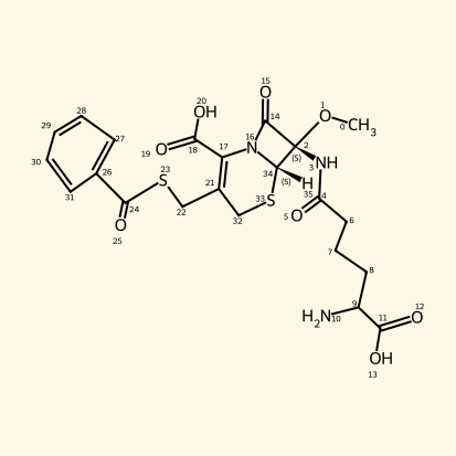 CO[C@@]1(NC(=O)CCCC(N)C(=O)O)C(=O)N2C(C(=O)O)=C(CSC(=O)c3ccccc3)CS[C@H]21